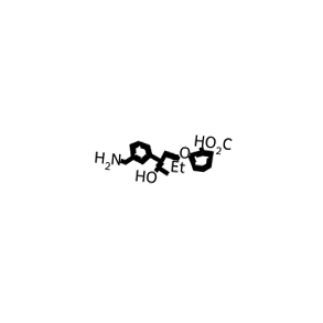 CC/C(=C\C(=C(/C)O)c1cccc(CN)c1)Oc1ccccc1C(=O)O